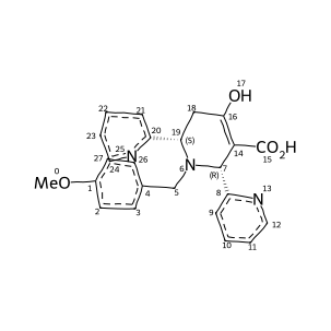 COc1ccc(CN2[C@@H](c3ccccn3)C(C(=O)O)=C(O)C[C@H]2c2ccccn2)cc1